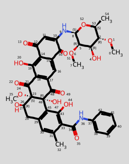 CO[C@@H]1[C@@H](O)[C@@H](OC)[C@@H](NC2=CC(=O)c3c(cc4c(c3O)C(=O)[C@]3(OC)[C@H](O)Cc5cc(C)c(C(=O)Nc6ccccc6)c(O)c5[C@]3(O)C4=O)C2=O)O[C@H]1C